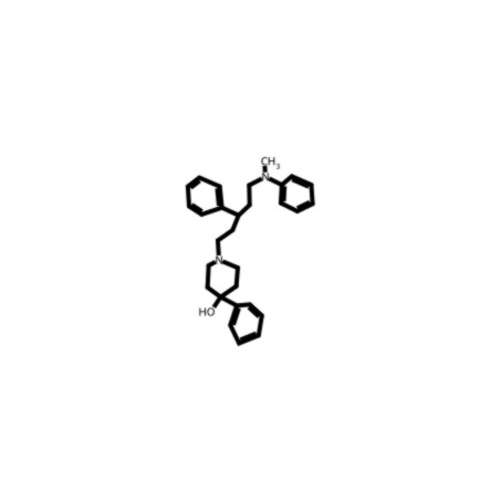 CN(CCC(CCN1CCC(O)(c2ccccc2)CC1)c1ccccc1)c1ccccc1